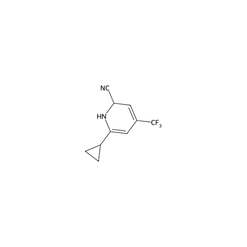 N#CC1C=C(C(F)(F)F)C=C(C2CC2)N1